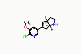 COc1cc(C2=C[C@@H]3CCN[C@@H]3C2)cnc1Cl